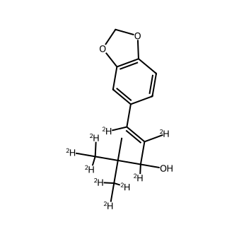 [2H]/C(=C(/[2H])C([2H])(O)C(C)(C([2H])([2H])[2H])C([2H])([2H])[2H])c1ccc2c(c1)OCO2